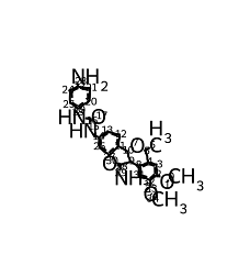 COc1cc(C(C)=O)c(C(Cc2ccc(NC(=O)Nc3ccc(N)cc3)cc2)C(N)=O)cc1OC